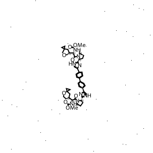 COC(=O)N[C@H](C(=O)N1[C@@H](C)CC[C@H]1c1nc(-c2ccc(-c3ccc(-c4c[nH]c([C@@H]5CC[C@H](C)N5C(=O)[C@@H](NC(=O)OC)[C@H]5CCOC6(CC6)C5)n4)cc3)cc2)c[nH]1)[C@H]1COCC2(CC2)C1